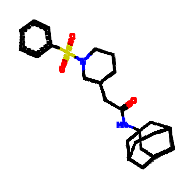 O=C(CC1CCCN(S(=O)(=O)c2ccccc2)C1)NC12CC3CC(CC(C3)C1)C2